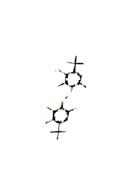 Cc1cc(C(C)(C)C)c(Cl)c(C)c1SSc1c(C)cc(C(C)(C)C)c(Cl)c1C